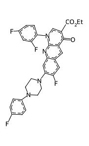 CCOC(=O)c1cn(-c2ccc(F)cc2F)c2nc3cc(N4CCN(c5ccc(F)cc5)CC4)c(F)cc3cc2c1=O